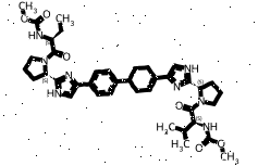 CC[C@H](NC(=O)OC)C(=O)N1CCC[C@H]1c1nc(-c2ccc(C3CC=C(c4c[nH]c([C@@H]5CCCN5C(=O)[C@@H](NC(=O)OC)C(C)C)n4)CC3)cc2)c[nH]1